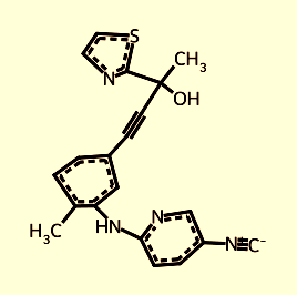 [C-]#[N+]c1ccc(Nc2cc(C#CC(C)(O)c3nccs3)ccc2C)nc1